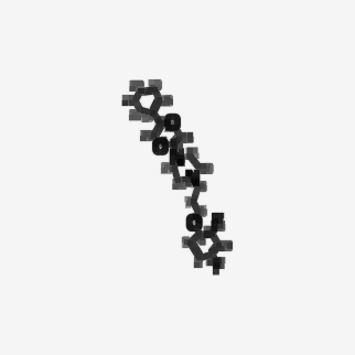 Fc1ccc(OCCCN2CCN(C3=COC(C4=CC=CCC4)=CO3)CC2)c(F)c1